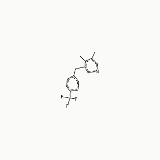 Cc1cncc(Cc2ccc(C(F)(F)F)cc2)c1C